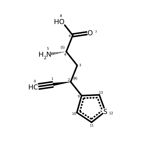 C#C[C@@H](C[C@H](N)C(=O)O)c1ccsc1